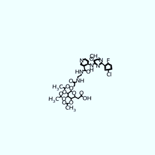 COc1cnc(-c2cc(Cl)ccc2F)nc1Nc1ccncc1C(=O)NCCNC(=O)COC1OC(CC(=O)O)C(OC(C)=O)C(OC(C)=O)C1OC(C)=O